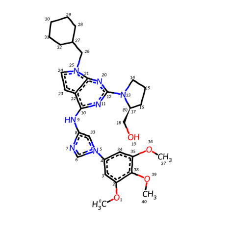 COc1cc(-n2cnc(Nc3nc(N4CCC[C@H]4CO)nc4c3ccn4CC3CCCCC3)c2)cc(OC)c1OC